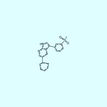 CS(=O)(=O)c1cccc(-c2c[nH]c3ncc(-c4ccccc4)cc23)c1